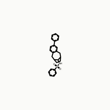 O=S(=O)(NC1C2CCC1Cc1cc(-c3ccccc3)ccc1C2)c1ccccc1